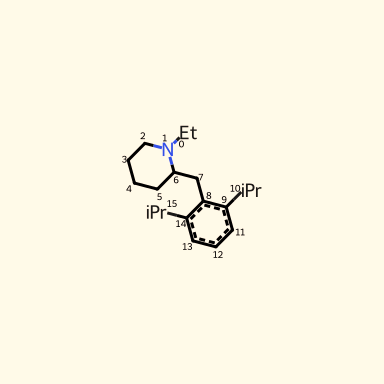 CCN1CCCCC1Cc1c(C(C)C)cccc1C(C)C